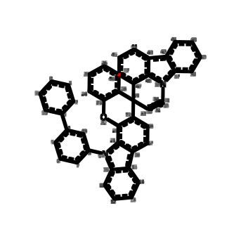 c1ccc(-c2cccc(-n3c4ccccc4c4ccc5c(c43)Oc3ccccc3C53c4ccccc4-n4c5ccccc5c5cccc3c54)c2)cc1